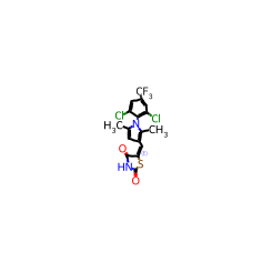 Cc1cc(/C=C2/SC(=O)NC2=O)c(C)n1-c1c(Cl)cc(C(F)(F)F)cc1Cl